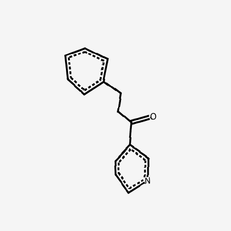 O=C(CCc1ccccc1)c1cccnc1